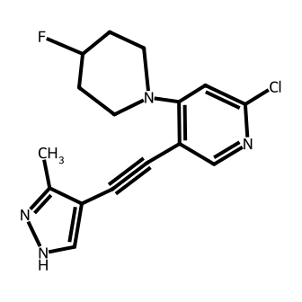 Cc1n[nH]cc1C#Cc1cnc(Cl)cc1N1CCC(F)CC1